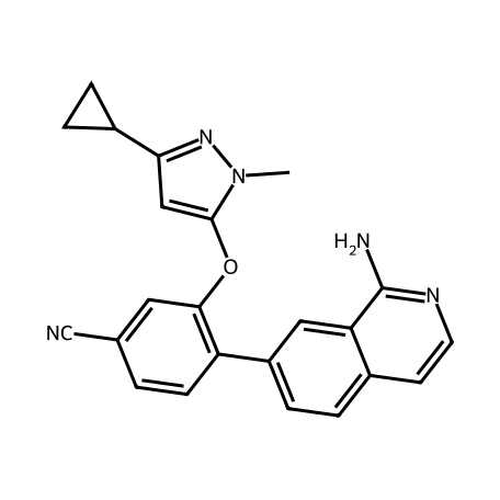 Cn1nc(C2CC2)cc1Oc1cc(C#N)ccc1-c1ccc2ccnc(N)c2c1